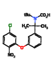 CC(C)(C)N(C(=O)O)C(C)(C)c1cccc(Oc2cc(Cl)ccc2[N+](=O)[O-])c1